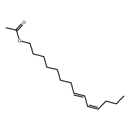 CCC/C=C\C=C\CCCCCCCOC(C)=O